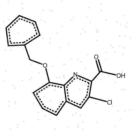 O=C(O)c1nc2c(OCc3ccccc3)cccc2cc1Cl